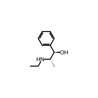 CCN[C@@H](C)[C@H](O)c1ccccc1